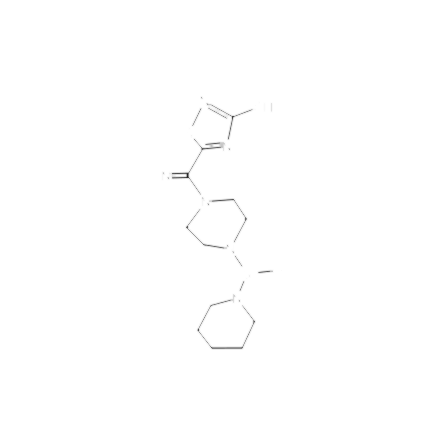 Cc1nsc(C(=N)N2CCN([S+]([O-])N3CCCCC3)CC2)n1